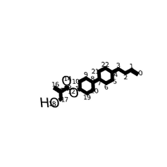 C=CCCC1CCC(C2CCC(OC(=O)C(=C)CO)CC2)CC1